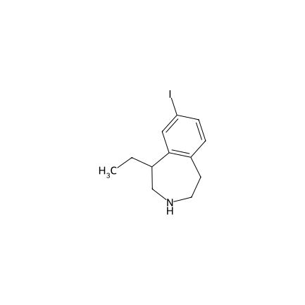 CCC1CNCCc2ccc(I)cc21